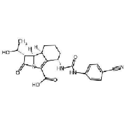 CC(O)[C@H]1C(=O)N2C(C(=O)O)=C3[C@@H](NC(=O)Nc4ccc(C#N)cc4)CCC[C@@H]3[C@H]12